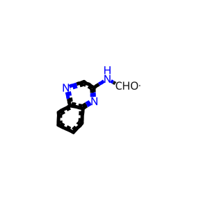 O=[C]Nc1cnc2ccccc2n1